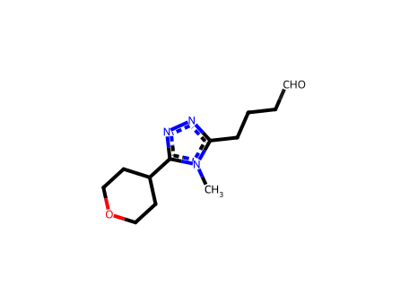 Cn1c(CCCC=O)nnc1C1CCOCC1